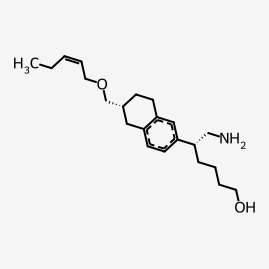 CC/C=C\COC[C@@H]1CCc2cc([C@H](CN)CCCCO)ccc2C1